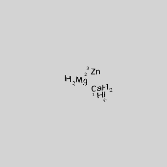 I.[CaH2].[MgH2].[Zn]